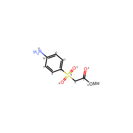 COC(=O)CS(=O)(=O)c1ccc(N)cc1